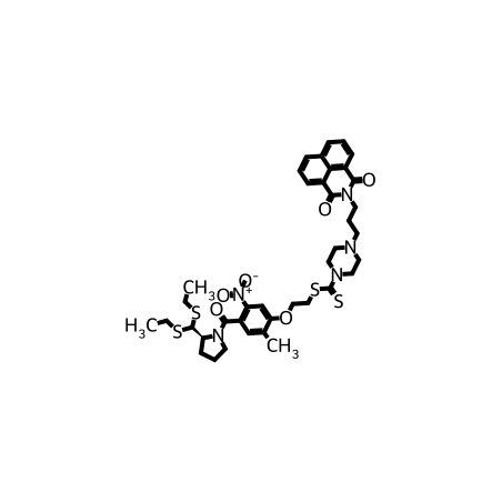 CCSC(SCC)[C@@H]1CCCN1C(=O)c1cc(C)c(OCCSC(=S)N2CCN(CCCN3C(=O)c4cccc5cccc(c45)C3=O)CC2)cc1[N+](=O)[O-]